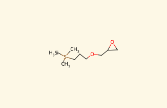 CS(C)([SiH3])CCCOCC1CO1